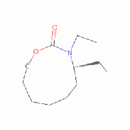 CC[C@H]1CCCCCCOC(=O)N1CC